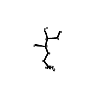 CCC(I)[C@H](C)CCN